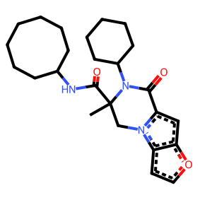 CC1(C(=O)NC2CCCCCCC2)Cn2c(cc3occc32)C(=O)N1C1CCCCC1